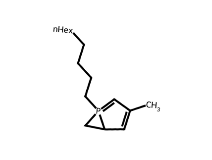 CCCCCCCCCCP12=CC(C)=CC1C2